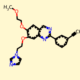 C#Cc1cccc(-c2n[c]c3cc(OCCOC)c(OCCn4ccnc4)cc3n2)c1